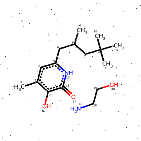 Cc1cc(CC(C)CC(C)(C)C)[nH]c(=O)c1O.NCCO